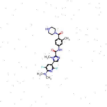 Cc1cc(NC(=O)c2ncc(-c3cc(F)c(N(C)C)nc3F)n2C)ccc1C(=O)N1CCNCC1